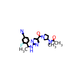 CC(=O)N(C)C1CCN(C(=O)c2cnc(NC(C)c3ccc(C#N)cc3F)nc2)C1